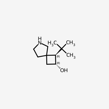 CC(C)(C)[C@H]1[C@H](O)CC12CCNC2